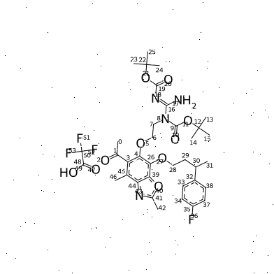 CC(=O)c1c(OCCN(C(=O)OC(C)(C)C)C(N)=NC(=O)OC(C)(C)C)c(OCCC(C)c2ccc(F)cc2)c2oc(C)nc2c1C.O=C(O)C(F)(F)F